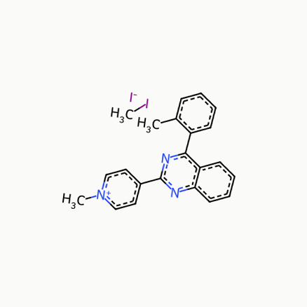 CI.Cc1ccccc1-c1nc(-c2cc[n+](C)cc2)nc2ccccc12.[I-]